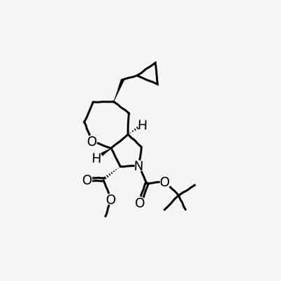 COC(=O)[C@@H]1[C@@H]2OCC[C@@H](CC3CC3)C[C@H]2CN1C(=O)OC(C)(C)C